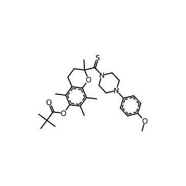 COc1ccc(N2CCN(C(=S)C3(C)CCc4c(C)c(OC(=O)C(C)(C)C)c(C)c(C)c4O3)CC2)cc1